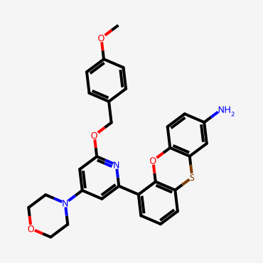 COc1ccc(COc2cc(N3CCOCC3)cc(-c3cccc4c3Oc3ccc(N)cc3S4)n2)cc1